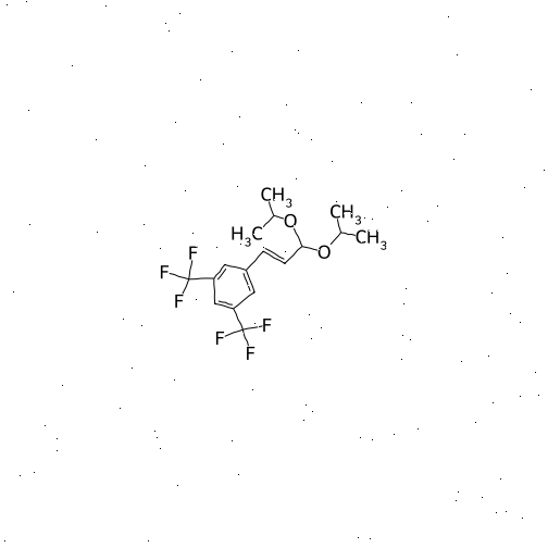 CC(C)OC(C=Cc1cc(C(F)(F)F)cc(C(F)(F)F)c1)OC(C)C